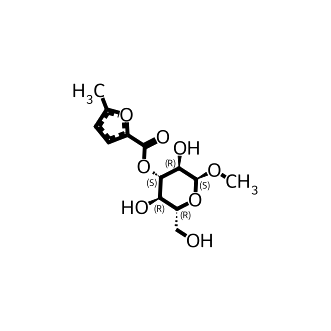 CO[C@H]1O[C@H](CO)[C@@H](O)[C@H](OC(=O)c2ccc(C)o2)[C@H]1O